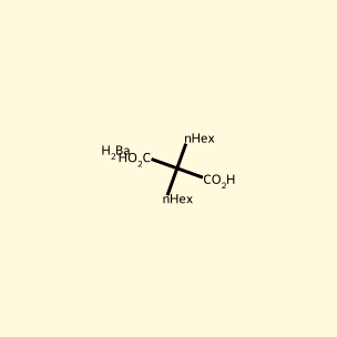 CCCCCCC(CCCCCC)(C(=O)O)C(=O)O.[BaH2]